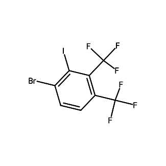 FC(F)(F)c1ccc(Br)c(I)c1C(F)(F)F